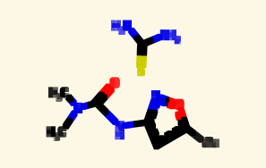 CN(C)C(=O)Nc1cc(C(C)(C)C)on1.NC(N)=S